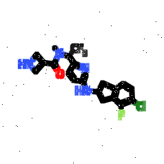 CN(C(=O)C1CNC1)[C@@H](c1ccc(NC2Cc3ccc(Cl)c(F)c3C2)cn1)C(F)(F)F